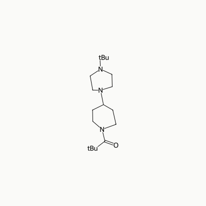 CC(C)(C)C(=O)N1CCC(N2CCN(C(C)(C)C)CC2)CC1